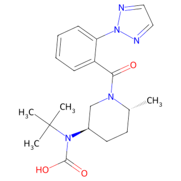 C[C@@H]1CC[C@@H](N(C(=O)O)C(C)(C)C)CN1C(=O)c1ccccc1-n1nccn1